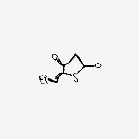 CCC=C1SC(=O)CC1=O